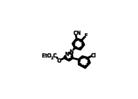 CCOC(=O)Oc1cc(-c2cccc(Cl)c2)n(-c2ccc(F)c(C#N)c2)n1